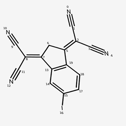 N#CC(C#N)=C1CC(=C(C#N)C#N)c2cc(I)ccc21